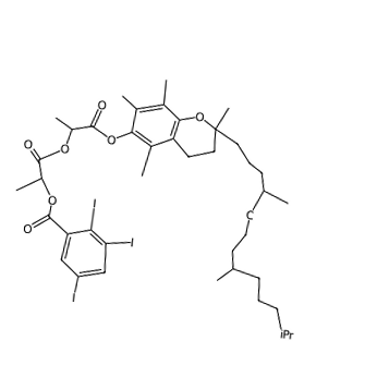 Cc1c(C)c2c(c(C)c1OC(=O)C(C)OC(=O)C(C)OC(=O)c1cc(I)cc(I)c1I)CCC(C)(CCCC(C)CCCC(C)CCCC(C)C)O2